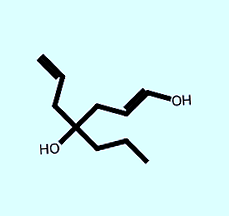 C=CCC(O)(CC=CO)CCC